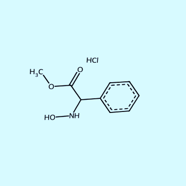 COC(=O)C(NO)c1ccccc1.Cl